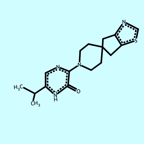 CC(C)c1cnc(N2CCC3(CC2)Cc2ncsc2C3)c(=O)[nH]1